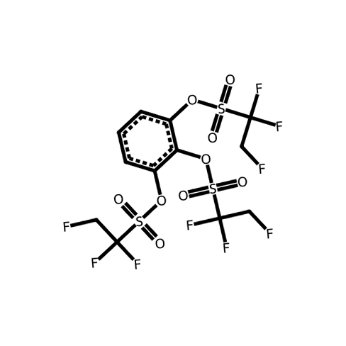 O=S(=O)(Oc1cccc(OS(=O)(=O)C(F)(F)CF)c1OS(=O)(=O)C(F)(F)CF)C(F)(F)CF